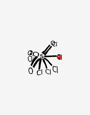 [O]=[Os](=[O])(=[O])(=[O])([Cl])([Cl])([Cl])([Cl])([Cl])[Cl]